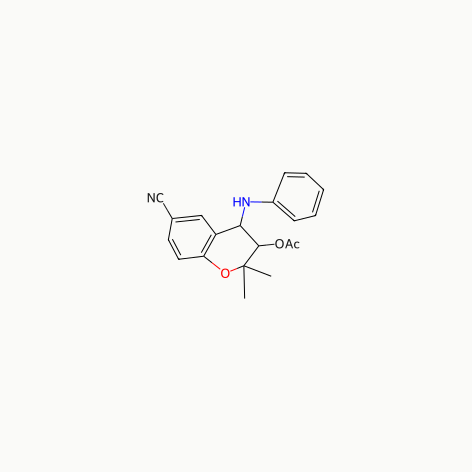 CC(=O)OC1C(Nc2ccccc2)c2cc(C#N)ccc2OC1(C)C